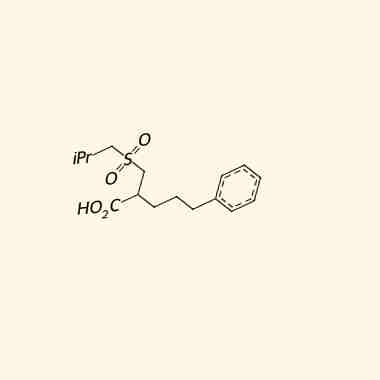 CC(C)CS(=O)(=O)CC(CCCc1ccccc1)C(=O)O